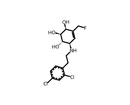 O[C@@H]1[C@@H](O)[C@@H](O)C(CF)=C[C@H]1NCCc1ccc(Cl)cc1Cl